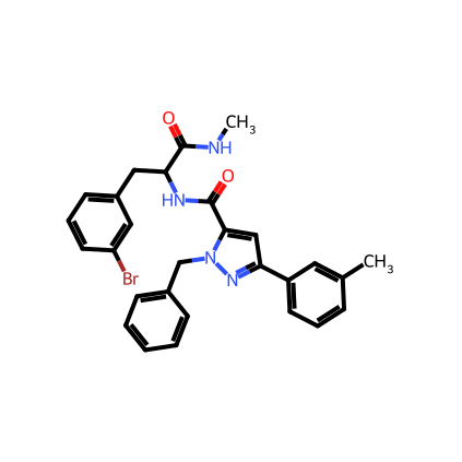 CNC(=O)C(Cc1cccc(Br)c1)NC(=O)c1cc(-c2cccc(C)c2)nn1Cc1ccccc1